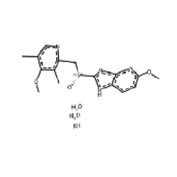 COc1ccc2[nH]c([S@+]([O-])Cc3ncc(C)c(OC)c3C)nc2n1.O.O.[KH]